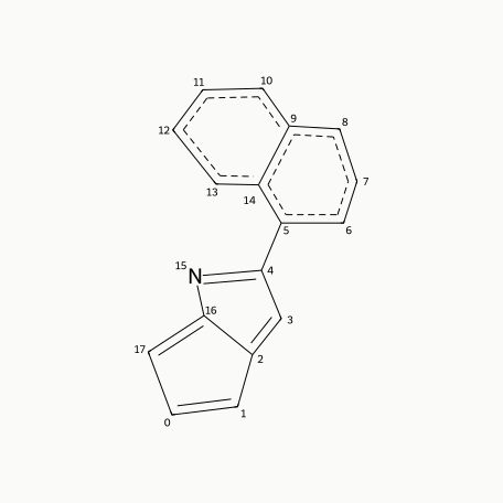 C1=CC2=CC(c3cccc4ccccc34)=NC2=C1